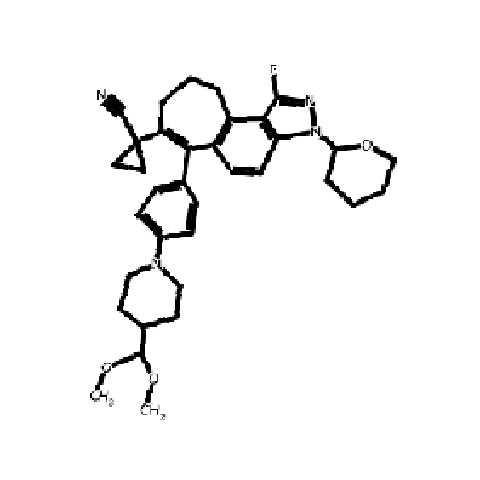 COC(OC)C1CCN(c2ccc(C3=C(C4(C#N)CC4)CCCc4c3ccc3c4c(F)nn3C3CCCCO3)cc2)CC1